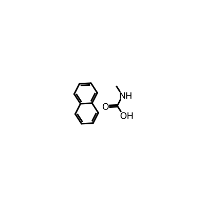 CNC(=O)O.c1ccc2ccccc2c1